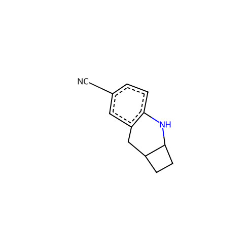 N#Cc1ccc2c(c1)CC1CCC1N2